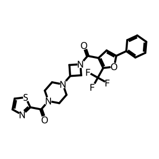 O=C(c1nccs1)N1CCN(C2CN(C(=O)c3cc(-c4ccccc4)oc3C(F)(F)F)C2)CC1